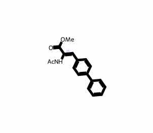 COC(=O)/C(=C/c1ccc(-c2ccccc2)cc1)NC(C)=O